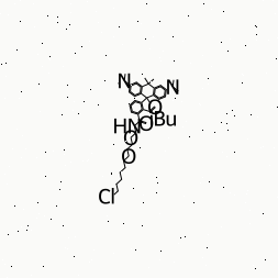 CCC(C)C(=O)c1c(C(=O)NCOCCOCCCCCCCl)cccc1C1(C)c2ccc(N(C)C)cc2C(C)(C)c2cc(N(C)C)ccc21